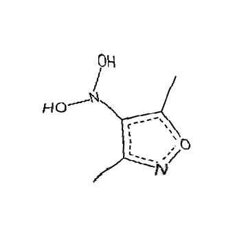 Cc1noc(C)c1N(O)O